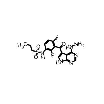 CCCS(=O)(=O)Nc1ccc(F)c(C(=O)c2c[nH]c3ncnc(NN)c23)c1F